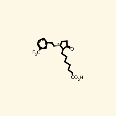 O=C(O)CCCCCCC1C(=O)CC[C@@H]1CCc1cccc(C(F)(F)F)c1